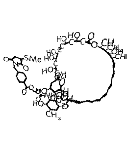 CSC1CC(=O)N(CC2CCC(C(=O)OCOC(=O)N[C@H]3[C@H](O)[C@@H](C)C[C@@H](O[C@H]4/C=C/C=C/C=C/C=C/C=C/C=C/C=C/[C@H](C)[C@@H](O)[C@@H](C)[C@H](C)OC(=O)C[C@H](O)C[C@H](O)CC[C@@H](O)[C@H](O)C[C@H](O)C[C@]5(O)C[C@H](O)[C@@H](C(=O)O)[C@H](C4)O5)[C@H]3O)CC2)C1=O